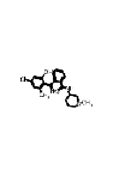 Cc1cc(Cl)cc(O)c1-c1nnc(NC2CCCN(C)C2)c2ccccc12